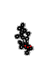 c1ccc(-c2nc(-c3ccc(-c4cccc(-c5ccc(-n6c7ccccc7c7cccc(-c8cc9c(cn8)c8ccccc8n9-c8ccccc8)c76)cc5)c4)cc3)nc(-n3c4ccccc4c4cccc(-c5cc6c(cn5)c5ccccc5n6-c5ccccc5)c43)n2)cc1